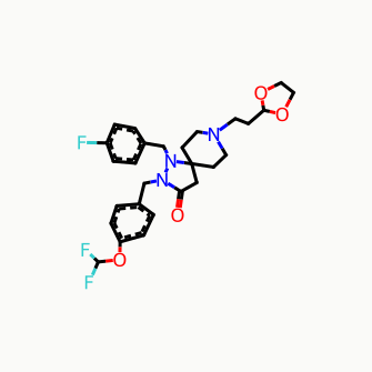 O=C1CC2(CCN(CCC3OCCO3)CC2)N(Cc2ccc(F)cc2)N1Cc1ccc(OC(F)F)cc1